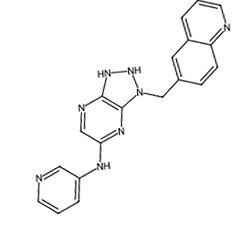 c1cncc(Nc2cnc3c(n2)N(Cc2ccc4ncccc4c2)NN3)c1